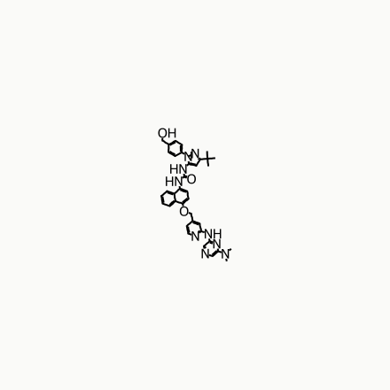 CN(C)c1cncc(Nc2cc(COc3ccc(NC(=O)Nc4cc(C(C)(C)C)nn4-c4ccc(CO)cc4)c4ccccc34)ccn2)n1